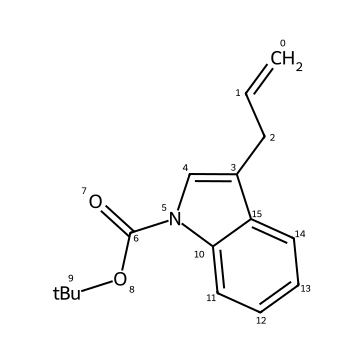 C=CCc1cn(C(=O)OC(C)(C)C)c2ccccc12